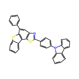 c1ccc(-c2cc3nc(-c4ccc(-n5c6ccccc6c6ccccc65)cc4)sc3c3c2sc2ccccc23)cc1